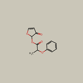 CC(Oc1ccccc1)C(=O)OC1OC=CC1=O